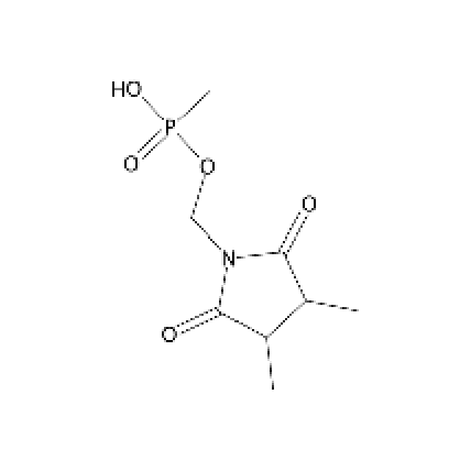 CC1C(=O)N(COP(C)(=O)O)C(=O)C1C